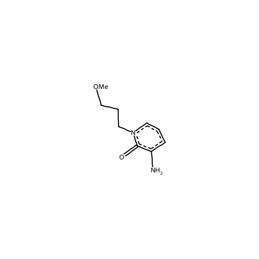 COCCCn1cccc(N)c1=O